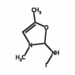 CC1=CN(C)C(NI)O1